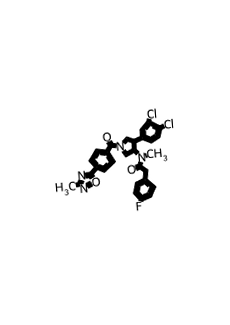 Cc1noc(-c2ccc(C(=O)N3CC(c4ccc(Cl)c(Cl)c4)C(N(C)C(=O)Cc4ccc(F)cc4)C3)cc2)n1